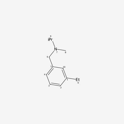 CCc1cccc(CN(C)C(C)C)c1